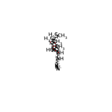 CC(C)CCC[C@@H](C)C1CCC2C3CC(O)[C@H]4C[C@H](NCCCNCCCCN=[N+]=[N-])CCC4(C)C3CC[C@@]21C